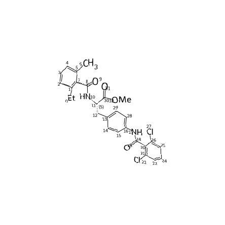 CCc1cccc(C)c1C(=O)N[C@@H](Cc1ccc(NC(=O)c2c(Cl)cccc2Cl)cc1)C(=O)OC